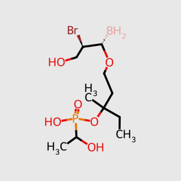 B[C@H](OCCC(C)(CC)OP(=O)(O)C(C)O)[C@H](Br)CO